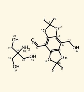 CC1(C)Oc2c(C=O)c3c(c(CO)c2O1)OC(C)(C)O3.NC(CO)(CO)CO